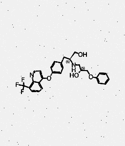 OC[C@H](Cc1ccc(Oc2ccnc3c(C(F)(F)F)cccc23)cc1)NC[C@H](O)COc1ccccc1